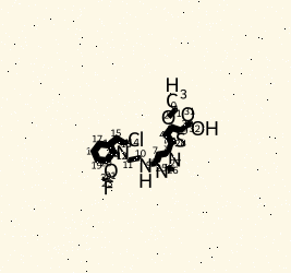 CCOc1cc(-c2cc(NCCn3c(Cl)cc4cccc(OCF)c43)ncn2)sc1C(=O)O